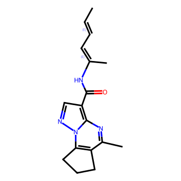 C/C=C/C=C(\C)NC(=O)c1cnn2c3c(c(C)nc12)CCC3